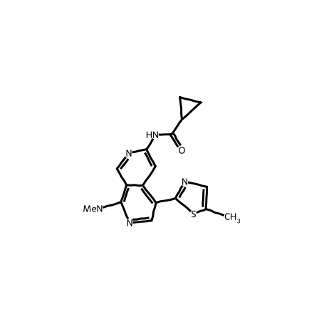 CNc1ncc(-c2ncc(C)s2)c2cc(NC(=O)C3CC3)ncc12